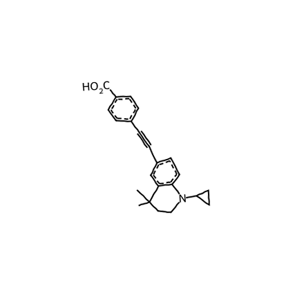 CC1(C)CCN(C2CC2)c2ccc(C#Cc3ccc(C(=O)O)cc3)cc21